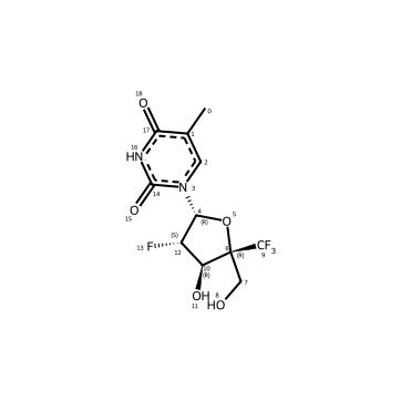 Cc1cn([C@@H]2O[C@@](CO)(C(F)(F)F)[C@@H](O)[C@@H]2F)c(=O)[nH]c1=O